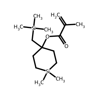 C=C(C)C(=O)OC1(C[Si](C)(C)C)CC[Si](C)(C)CC1